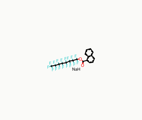 O=C(OC(F)(F)C(F)(F)C(F)(F)C(F)(F)C(F)(F)C(F)(F)C(F)(F)C(F)(F)F)c1cccc2ccccc12.[NaH]